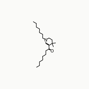 CCCCCCCC(=O)C1=CN(CCCCCCC)CCC1(C)C